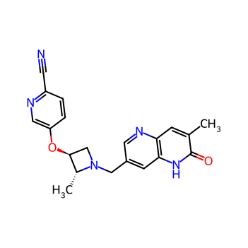 Cc1cc2ncc(CN3C[C@H](Oc4ccc(C#N)nc4)[C@H]3C)cc2[nH]c1=O